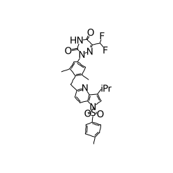 Cc1ccc(S(=O)(=O)n2cc(C(C)C)c3nc(Cc4c(C)cc(-n5nc(C(F)F)c(=O)[nH]c5=O)cc4C)ccc32)cc1